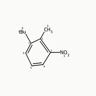 Cc1c([N+](=O)[O-])cccc1C(C)(C)C